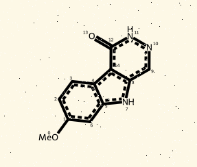 COc1ccc2c(c1)[nH]c1cn[nH]c(=O)c12